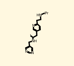 CC(C)NCCc1ccc(CC(I)NCc2cncnc2)cn1